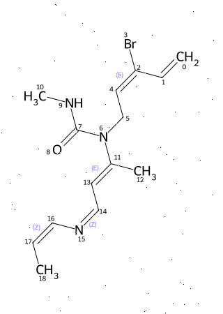 C=C/C(Br)=C\CN(C(=O)NC)/C(C)=C/C=N\C=C/C